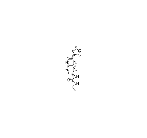 CCNC(=O)Nc1ccc2ncc(-c3ccoc3)nc2n1